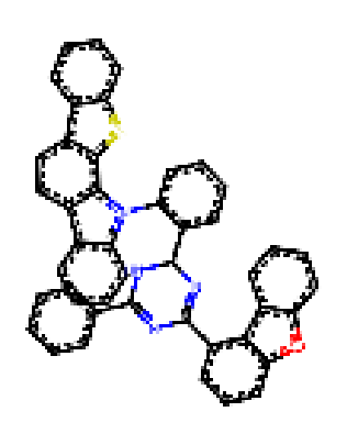 c1ccc(C2=NC(c3cccc4oc5ccccc5c34)=NC(c3ccccc3-n3c4ccccc4c4ccc5c6ccccc6sc5c43)N2)cc1